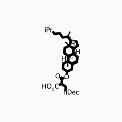 CCCCCCCCCCCC(C(=O)O)C(=O)OC1CC[C@@]2(C)C(=CC[C@H]3[C@@H]4CC[C@H]([C@H](C)CCCC(C)C)[C@@]4(C)CC[C@@H]32)C1